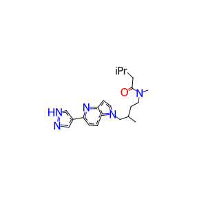 CC(C)CC(=O)N(C)CCC(C)Cn1ccc2nc(-c3cn[nH]c3)ccc21